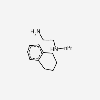 CCCNCCN.c1ccc2c(c1)CCCC2